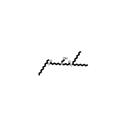 CCCCCCCCC(CC)OC(=O)CCCCCN(CCO)CCCC(=O)OC(CCCCCCCC)CCCCCCCC